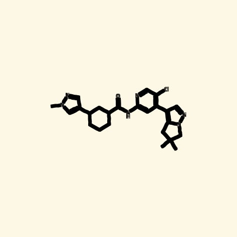 Cn1cc(C2CCCC(C(=O)Nc3cc(-c4cnn5c4CC(C)(C)C5)c(Cl)cn3)C2)cn1